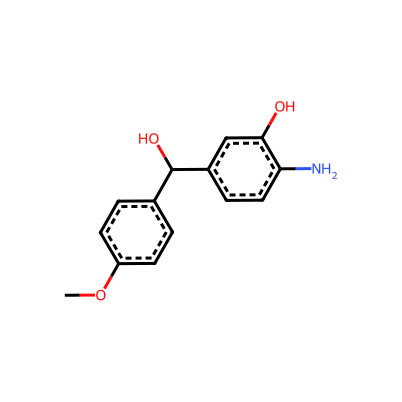 COc1ccc(C(O)c2ccc(N)c(O)c2)cc1